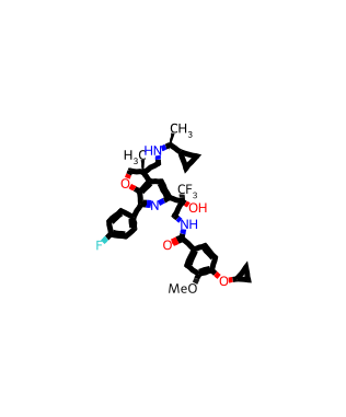 COc1cc(C(=O)NCC(O)(c2cc3c(c(-c4ccc(F)cc4)n2)OC[C@]3(C)CN[C@@H](C)C2CC2)C(F)(F)F)ccc1OC1CC1